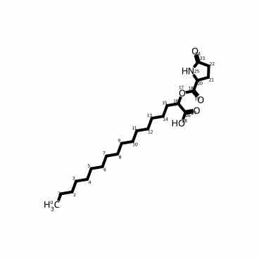 CCCCCCCCCCCCCCCCC(OC(=O)C1CCC(=O)N1)C(=O)O